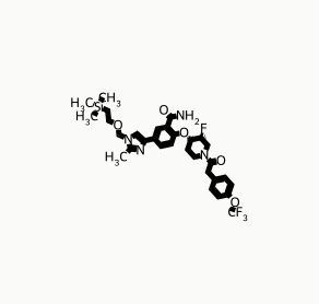 Cc1nc(-c2ccc(O[C@@H]3CCN(C(=O)Cc4ccc(OC(F)(F)F)cc4)C[C@@H]3F)c(C(N)=O)c2)cn1COCC[Si](C)(C)C